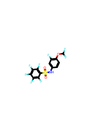 O=S(=O)(Nc1ccc(OC(F)F)c(F)c1)c1c(F)c(F)c(F)c(F)c1F